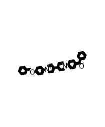 O=C(c1ccccc1)c1ccc(-[n+]2ccc(-c3cc[n+](-c4ccc(OCc5ccccc5)cc4)cc3)cc2)cc1